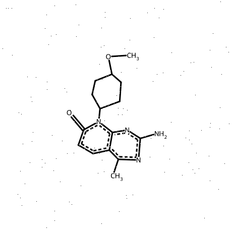 COC1CCC(n2c(=O)ccc3c(C)nc(N)nc32)CC1